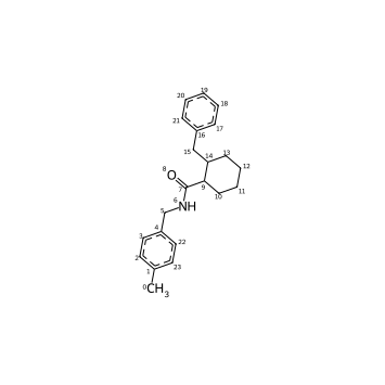 Cc1ccc(CNC(=O)C2CCCCC2Cc2ccccc2)cc1